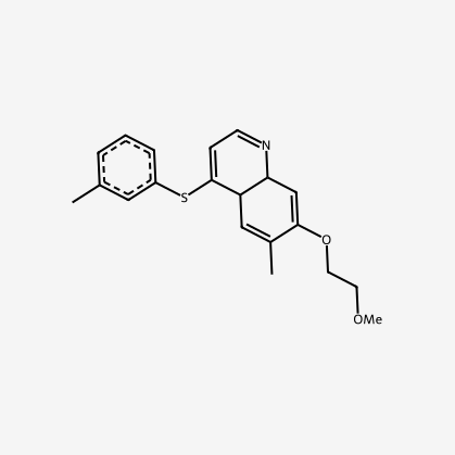 COCCOC1=CC2N=CC=C(Sc3cccc(C)c3)C2C=C1C